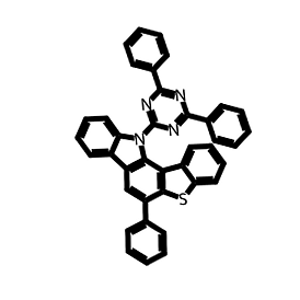 c1ccc(-c2nc(-c3ccccc3)nc(-n3c4ccccc4c4cc(-c5ccccc5)c5sc6ccccc6c5c43)n2)cc1